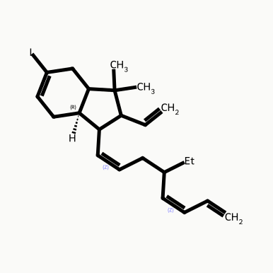 C=C/C=C\C(CC)C/C=C\C1C(C=C)C(C)(C)C2CC(I)=CC[C@H]12